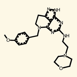 COc1ccc(CN2CCc3n[nH]c4nc(NCCN5CCOCC5)nc2c34)cc1